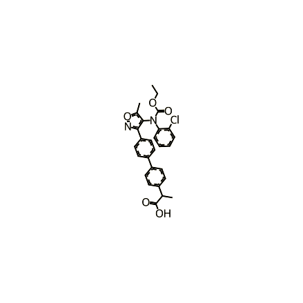 CCOC(=O)N(c1ccccc1Cl)c1c(-c2ccc(-c3ccc(C(C)C(=O)O)cc3)cc2)noc1C